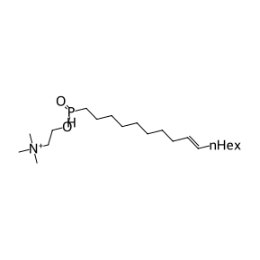 CCCCCCC=CCCCCCCCC[PH](=O)OCC[N+](C)(C)C